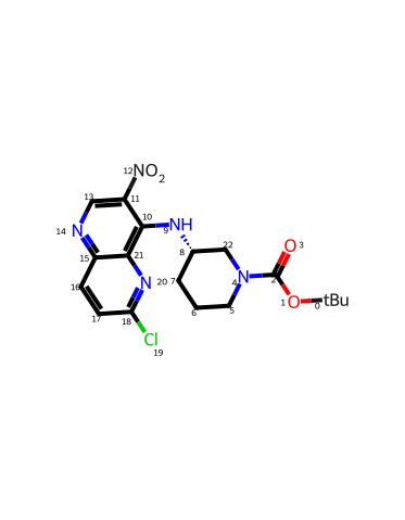 CC(C)(C)OC(=O)N1CCC[C@H](Nc2c([N+](=O)[O-])cnc3ccc(Cl)nc23)C1